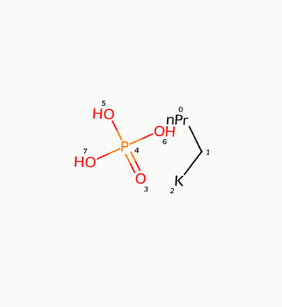 CCC[CH2][K].O=P(O)(O)O